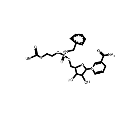 CC(C)(C)C(=O)SCCOP(=O)(NCc1ccccc1)OCC1OC(N2C=CCC(C(N)=O)=C2)C(O)C1O